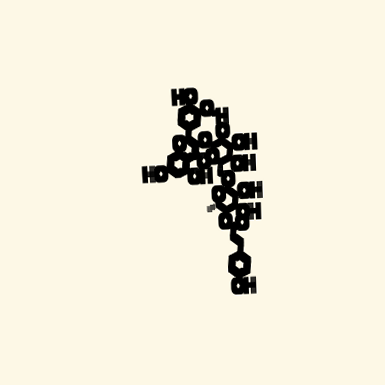 COc1cc(-c2oc3cc(O)cc(O)c3c(=O)c2O[C@@H]2O[C@H](CO[C@@H]3O[C@@H](C)[C@H](OC(=O)/C=C/c4ccc(O)cc4)[C@@H](O)[C@H]3O)[C@H](O)[C@H](O)[C@H]2O)ccc1O